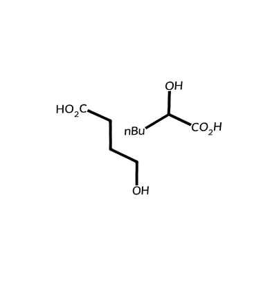 CCCCC(O)C(=O)O.O=C(O)CCCO